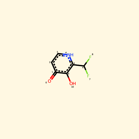 O=c1cc[nH]c(C(F)F)c1O